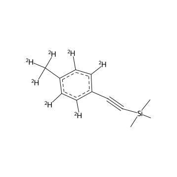 [2H]c1c([2H])c(C([2H])([2H])[2H])c([2H])c([2H])c1C#C[Si](C)(C)C